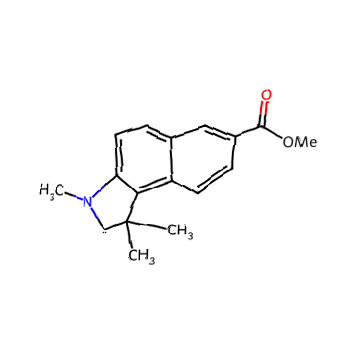 COC(=O)c1ccc2c3c(ccc2c1)N(C)[C]C3(C)C